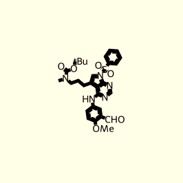 COc1ccc(Nc2ncnc3c2c(CCCN(C)C(=O)OC(C)(C)C)cn3S(=O)(=O)c2ccccc2)cc1C=O